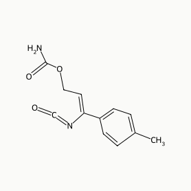 Cc1ccc(C(=CCOC(N)=O)N=C=O)cc1